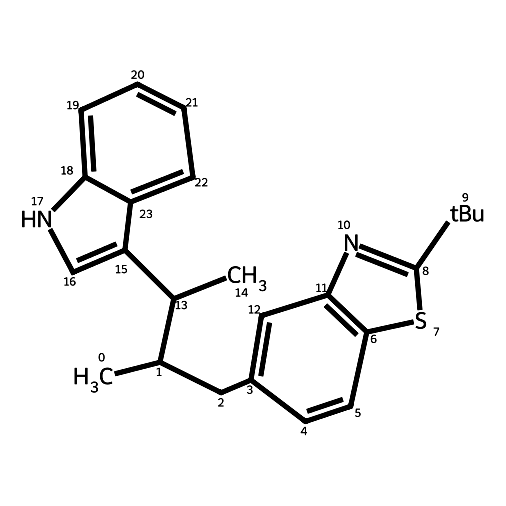 CC(Cc1ccc2sc(C(C)(C)C)nc2c1)C(C)c1c[nH]c2ccccc12